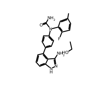 CCO.Cc1ccc(F)c(N(C(N)=O)c2ccc(-c3cccc4[nH]nc(N)c34)cc2)c1